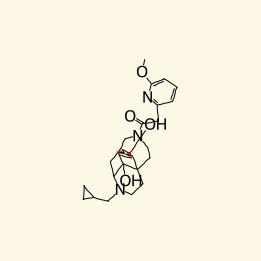 COc1cccc(CC(=O)N2CCC34CCN(CC5CC5)C(Cc5ccc(O)cc53)C4(O)CC2)n1